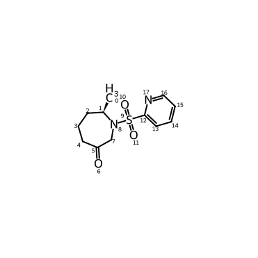 C[C@@H]1CCCC(=O)CN1S(=O)(=O)c1ccccn1